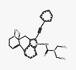 CCN(CC)C(=O)Nn1c(C#Cc2ccccc2)c2c3c(cccc31)C1=CCCN(C)[C@@H]1C2